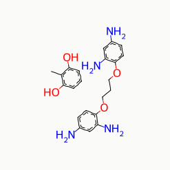 Cc1c(O)cccc1O.Nc1ccc(OCCCOc2ccc(N)cc2N)c(N)c1